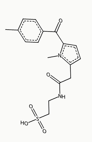 Cc1ccc(C(=O)c2ccc(CC(=O)NCCS(=O)(=O)O)n2C)cc1